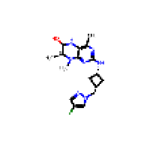 Cc1nc(N[C@H]2C[C@@H](Cn3cc(F)cn3)C2)nc2c1NC(O)[C@H](C)N2C